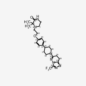 CC1(C)C(=O)NCCN1CCOc1ccc(C2CCN(C3=Nn4c(nnc4C(F)(F)F)CC3)CC2)cc1